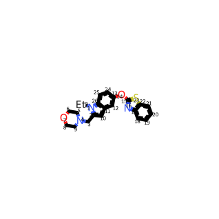 CCn1c(CN2CCOCC2)cc2cc(Oc3nc4ccccc4s3)ccc21